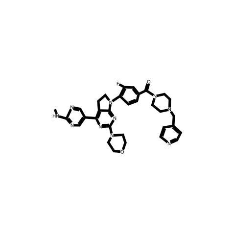 CNc1ncc(-c2nc(N3CCOCC3)nc3c2CCN3c2ccc(C(=O)N3CCN(Cc4ccncc4)CC3)cc2F)cn1